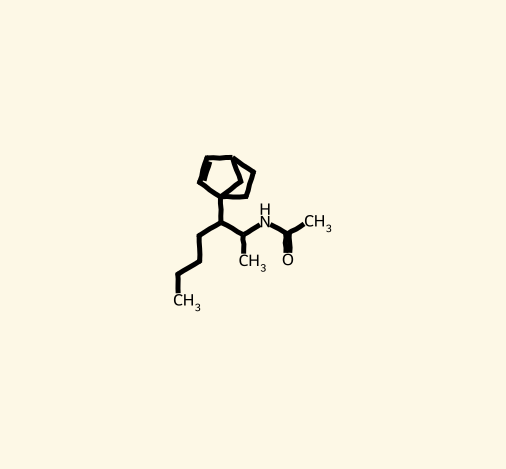 CCCCC(C(C)NC(C)=O)C12C=CC(CC1)C2